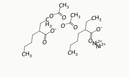 CC(=O)[O-].CC(=O)[O-].CCCCC(CC)C(=O)[O-].CCCCC(CC)C(=O)[O-].[Ni+2].[Ni+2]